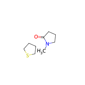 C1CCSC1.CN1CCCC1=O